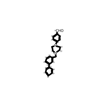 O=Cc1ccc(N2CCN(Cc3cccc(-c4ccccc4)c3)CC2)cc1